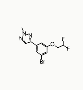 Cn1ncc(-c2cc(Br)cc(OCC(F)F)c2)n1